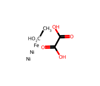 CC(=O)O.O=C(O)C(=O)O.[Fe].[Ni].[Ni]